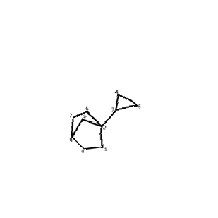 C1CC2(C3CC3)CCC1C2